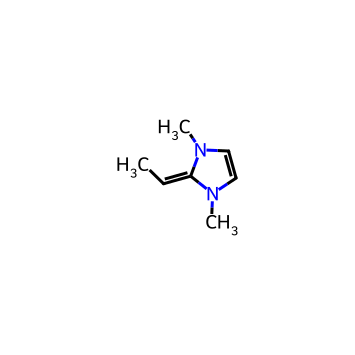 CC=C1N(C)C=CN1C